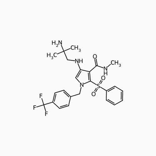 CNC(=O)c1c(NCC(C)(C)N)cn(Cc2ccc(C(F)(F)F)cc2)c1S(=O)(=O)c1ccccc1